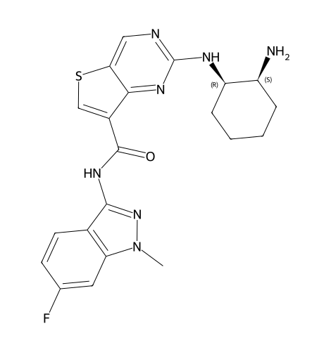 Cn1nc(NC(=O)c2csc3cnc(N[C@@H]4CCCC[C@@H]4N)nc23)c2ccc(F)cc21